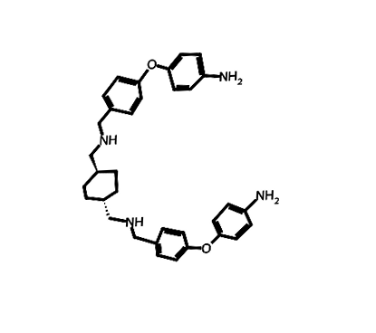 Nc1ccc(Oc2ccc(CNC[C@H]3CC[C@H](CNCc4ccc(Oc5ccc(N)cc5)cc4)CC3)cc2)cc1